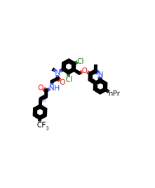 CCCc1ccc2cc(OCc3c(Cl)ccc(N(C)C(=O)CNC(=O)/C=C/c4ccc(C(F)(F)F)cc4)c3Cl)c(C)nc2c1